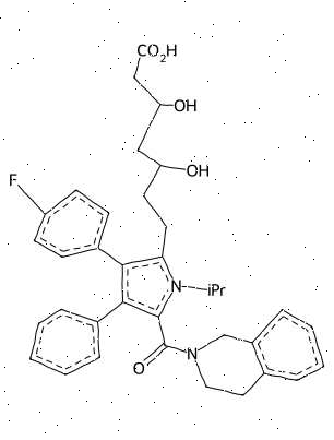 CC(C)n1c(CCC(O)CC(O)CC(=O)O)c(-c2ccc(F)cc2)c(-c2ccccc2)c1C(=O)N1CCc2ccccc2C1